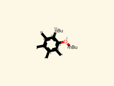 CCCCOc1c(C)c(C)c(C)c(C)c1CCCC